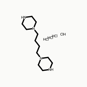 C(CCN1CCNCC1)CN1CCNCC1.Cl.Cl.Cl.Cl